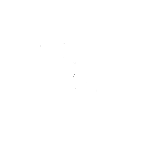 CO[C@H](C)[C@H](NC(=O)C[C@@H]1CCC(=O)N1Cc1cccc(F)c1F)C(=O)NCC(=O)O